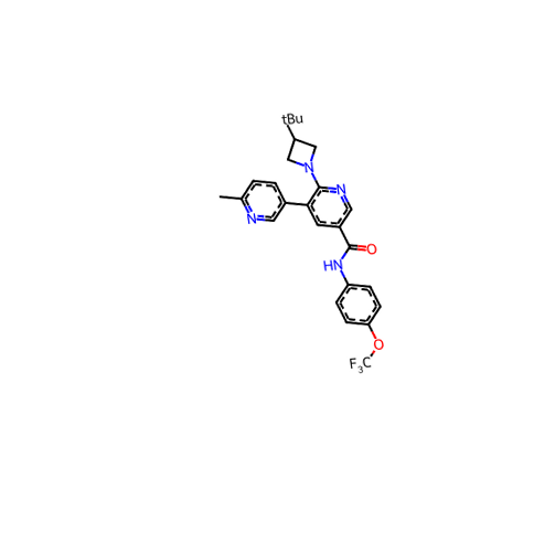 Cc1ccc(-c2cc(C(=O)Nc3ccc(OC(F)(F)F)cc3)cnc2N2CC(C(C)(C)C)C2)cn1